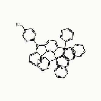 CC(C)(C)c1ccc(-n2c3ccccc3c3c(C(c4ccccc4)(c4ccccc4)c4ccccc4)c(C(c4ccccc4)(c4ccccc4)c4ccccc4)ccc32)cc1